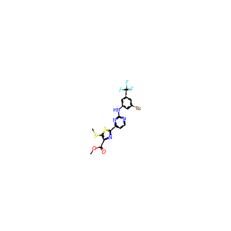 COC(=O)c1nc(-c2ccnc(Nc3cc(Br)cc(C(F)(F)F)c3)n2)sc1SC